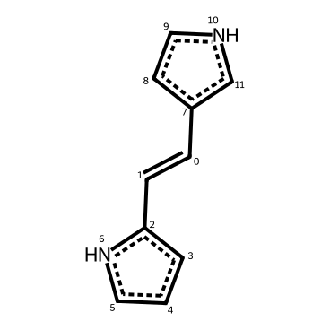 C(=Cc1ccc[nH]1)c1cc[nH]c1